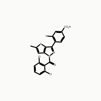 Cc1cc2c(s1)c(-c1ccc(C(=O)O)cc1F)nn2C(=O)c1c(Cl)cccc1Cl